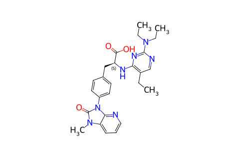 CCc1cnc(N(CC)CC)nc1N[C@@H](Cc1ccc(-n2c(=O)n(C)c3cccnc32)cc1)C(=O)O